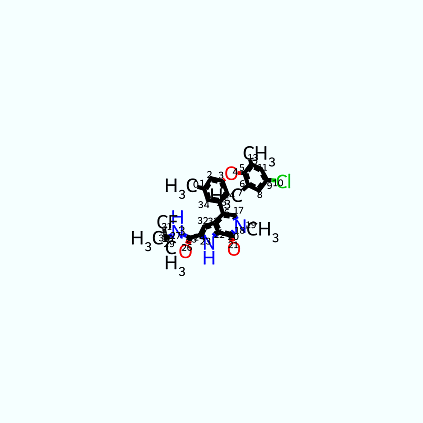 Cc1cc(Oc2c(C)cc(Cl)cc2C)cc(-c2cn(C)c(=O)c3[nH]c(C(=O)NC(C)(C)C(F)(F)F)cc23)c1